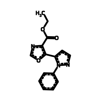 CCOC(=O)c1ncoc1-c1ccnn1-c1ccccc1